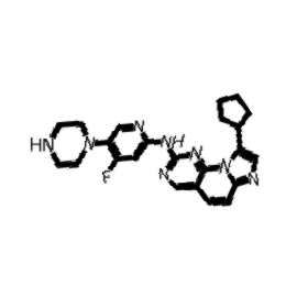 Fc1cc(Nc2ncc3ccc4ncc(C5CCCC5)n4c3n2)ncc1N1CCNCC1